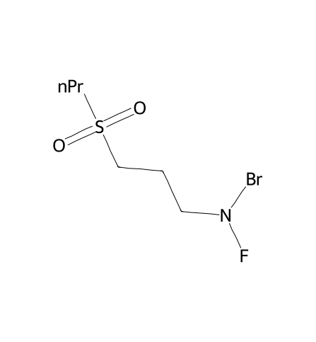 CCCS(=O)(=O)CCCN(F)Br